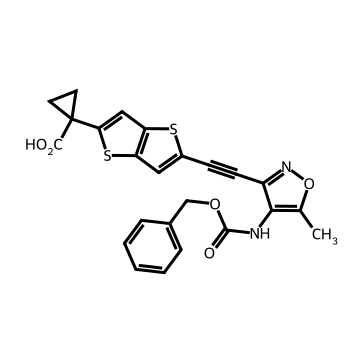 Cc1onc(C#Cc2cc3sc(C4(C(=O)O)CC4)cc3s2)c1NC(=O)OCc1ccccc1